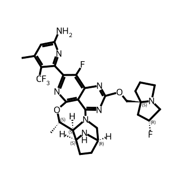 Cc1cc(N)nc(-c2nc3c4c(nc(OC[C@@]56CCCN5C[C@H](F)C6)nc4c2F)N2C[C@H]4CC[C@H](N4)[C@H]2[C@H](C)O3)c1C(F)(F)F